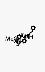 COc1ccc(F)cc1-n1c(-c2cccc(C(=O)NCCCCc3ccccc3)c2)csc1=O